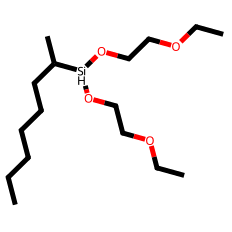 CCCCCCC(C)[SiH](OCCOCC)OCCOCC